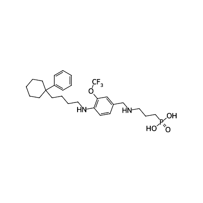 O=P(O)(O)CCCNCc1ccc(NCCCCC2(c3ccccc3)CCCCC2)c(OC(F)(F)F)c1